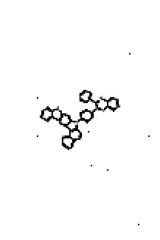 c1ccc(-c2nc3ccccc3nc2-c2ccc(-n3c4cc5sc6ccccc6c5cc4c4c5ccccc5ccc43)cc2)cc1